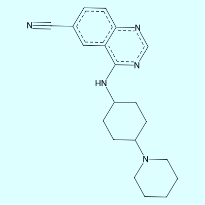 N#Cc1ccc2ncnc(NC3CCC(N4CCCCC4)CC3)c2c1